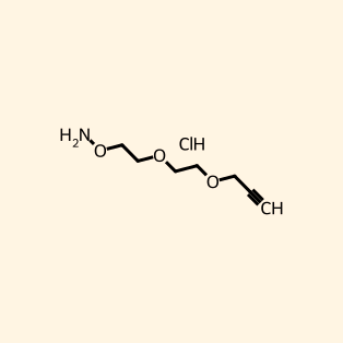 C#CCOCCOCCON.Cl